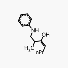 CCC/C=C(/O)C(C)CNc1ccccc1